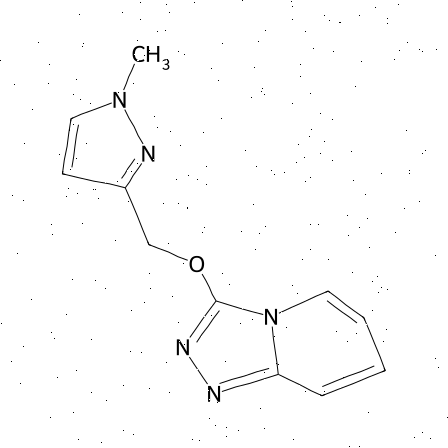 Cn1ccc(COc2nnc3ccccn23)n1